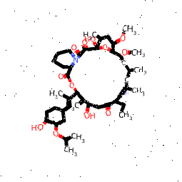 CCC1/C=C(\C)CC(C)CC(OC)C2OC(O)(C(=O)C(=O)N3CCCCC3C(=O)OC(C(C)=CC3CCC(O)C(OC(C)C)C3)C(C)C(O)CC1=O)C(C)CC2OC